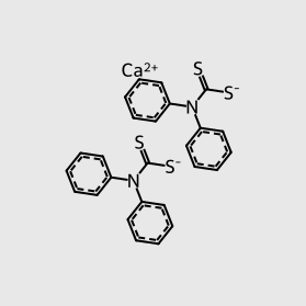 S=C([S-])N(c1ccccc1)c1ccccc1.S=C([S-])N(c1ccccc1)c1ccccc1.[Ca+2]